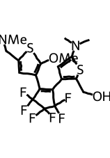 CNCc1cc(C2=C(c3cc(N(C)C)sc3CO)C(F)(F)C(F)(F)C2(F)F)c(OC)s1